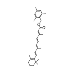 CC1=C(/C=C/C(C)=C/C=C/C(C)=C/C(=O)OCc2c(C)cc(C)cc2C)C(C)(C)CCC1